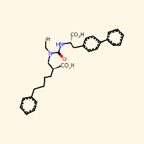 CC(C)CN(C[C@H](CCCCc1ccccc1)C(=O)O)C(=O)N[C@@H](Cc1ccc(-c2ccccc2)cc1)C(=O)O